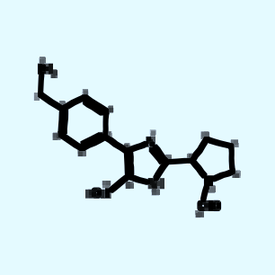 BCc1ccc(-c2nc(C3CCCN3C=O)[nH]c2CCCCCCCC)cc1